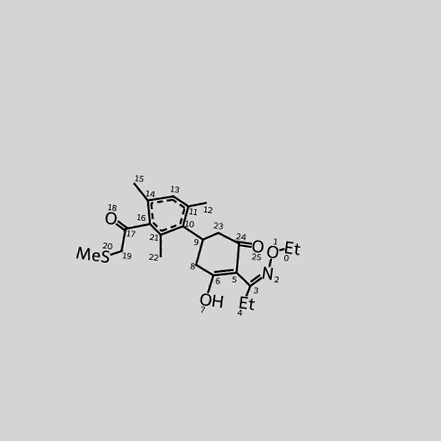 CCO/N=C(/CC)C1=C(O)CC(c2c(C)cc(C)c(C(=O)CSC)c2C)CC1=O